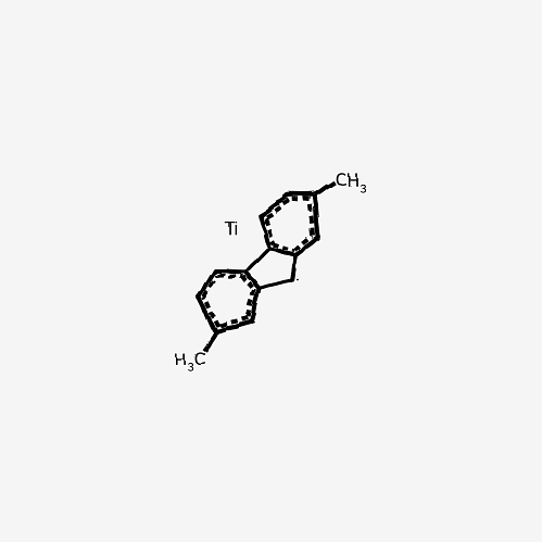 Cc1ccc2c(c1)[CH]c1cc(C)ccc1-2.[Ti]